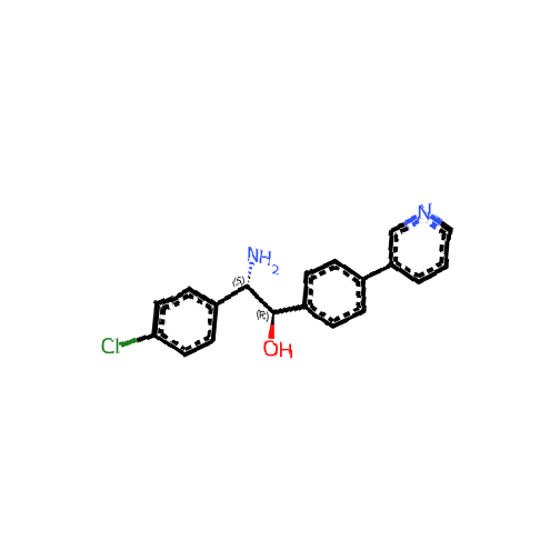 N[C@@H](c1ccc(Cl)cc1)[C@H](O)c1ccc(-c2cccnc2)cc1